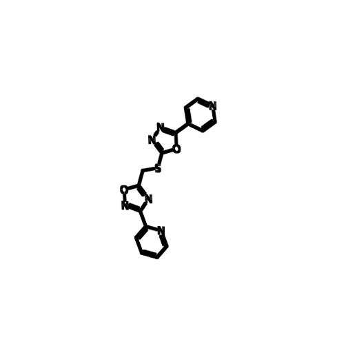 c1ccc(-c2noc(CSc3nnc(-c4ccncc4)o3)n2)nc1